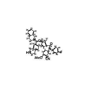 COc1ccc(N(C(=O)c2cc(-c3cc4c(cc3C(=O)N3Cc5ccccc5C[C@H]3C)CNCC4)n(C)c2C)c2ccc(F)cc2)cc1C#N